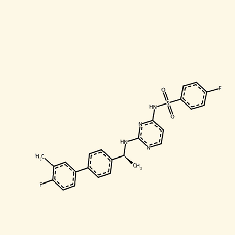 Cc1cc(-c2ccc([C@H](C)Nc3nccc(NS(=O)(=O)c4ccc(F)cc4)n3)cc2)ccc1F